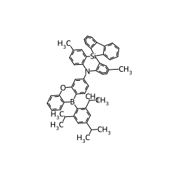 Cc1ccc2c(c1)[Si]1(c3ccccc3-c3ccccc31)c1cc(C)ccc1N2c1ccc2c(c1)Oc1ccccc1B2c1c(C(C)C)cc(C(C)C)cc1C(C)C